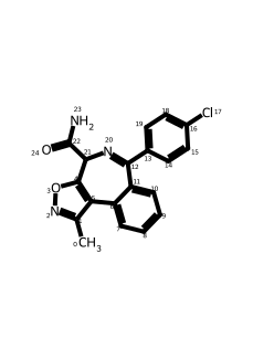 Cc1noc2c1-c1ccccc1C(c1ccc(Cl)cc1)=NC2C(N)=O